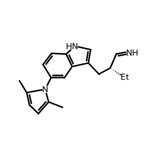 CC[C@@H](C=N)Cc1c[nH]c2ccc(-n3c(C)ccc3C)cc12